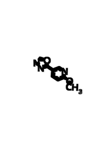 COc1ccc(-c2nnco2)cn1